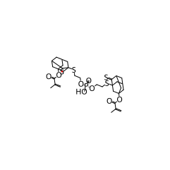 C=C(C)C(=O)OC12CC3CC(C1)C(=S)C(SCCOP(=O)(O)OCCSC14CC5CC(CC(OC(=O)C(=C)C)(C5)C1)C4=S)(C3)C2